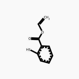 C=COC(=O)c1ccccc1S